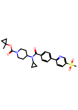 CC1(OC(=O)N2CCC(N(C(=O)c3ccc(-c4ccc(S(C)(=O)=O)cn4)cc3)C3CC3)CC2)CC1